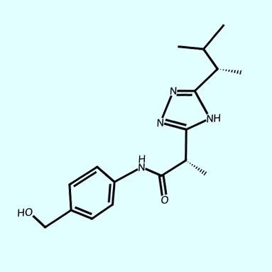 CC(C)[C@H](C)c1nnc([C@H](C)C(=O)Nc2ccc(CO)cc2)[nH]1